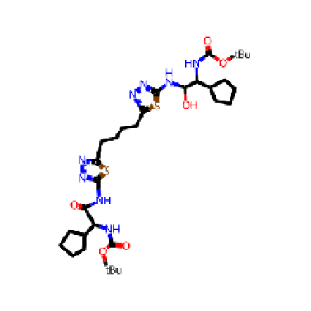 CC(C)(C)OC(=O)NC(C(=O)Nc1nnc(CCCCc2nnc(NC(O)C(NC(=O)OC(C)(C)C)C3CCCC3)s2)s1)C1CCCC1